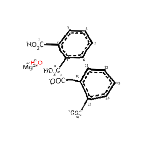 O.O=C(O)c1ccccc1C(=O)O.O=C([O-])c1ccccc1C(=O)[O-].[Mg+2]